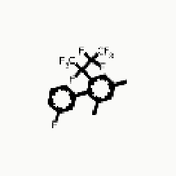 Cc1[c]c(C)c(-c2cccc(F)c2)c(C(F)(C(F)(F)F)C(F)(F)C(F)(F)F)c1